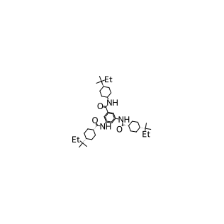 CCC(C)(C)[C@H]1CC[C@@H](NC(=O)c2cc(NC(=O)[C@H]3CC[C@@H](C(C)(C)CC)CC3)cc(NC(=O)[C@H]3CC[C@@H](C(C)(C)CC)CC3)c2)CC1